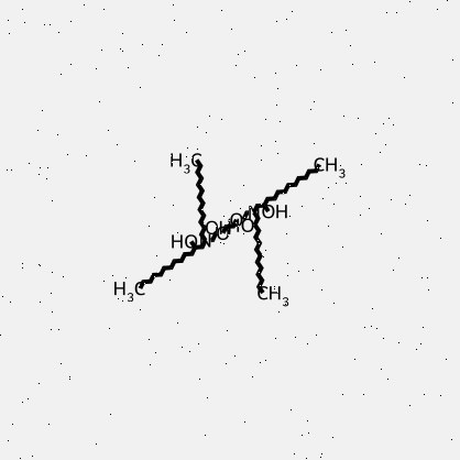 CCCCCCCCCCCC(O)CN(CCOCCOCCN(CC(O)CCCCCCCCCCC)CC(O)CCCCCCCCCCC)CC(O)CCCCCCCCCCC